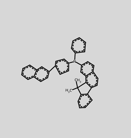 CC1(C)c2ccccc2-c2ccc3ccc(N(c4ccccc4)c4ccc(-c5ccc6ccccc6c5)cc4)cc3c21